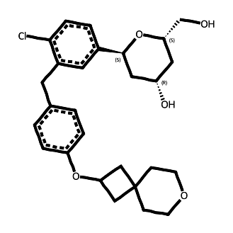 OC[C@@H]1C[C@H](O)C[C@@H](c2ccc(Cl)c(Cc3ccc(OC4CC5(CCOCC5)C4)cc3)c2)O1